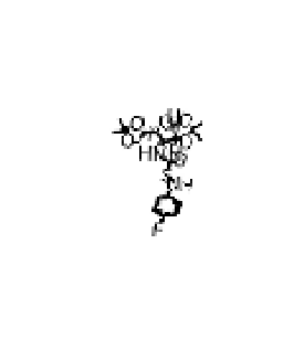 CC1(C)O[C@H]2O[C@H]([C@H]3COC(C)(C)O3)[C@@H](NC(=O)SNc3ccc(F)cc3)[C@H]2O1